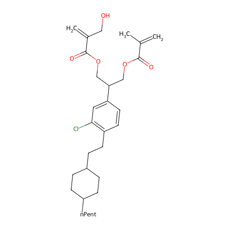 C=C(C)C(=O)OCC(COC(=O)C(=C)CO)c1ccc(CCC2CCC(CCCCC)CC2)c(Cl)c1